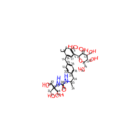 Cc1cc(O)c([C@@H]2O[C@H](CO)[C@@H](O)[C@H](O)[C@H]2O)cc1Cc1ccc(CC(C)NC(=O)NC(CO)(CO)CO)cc1